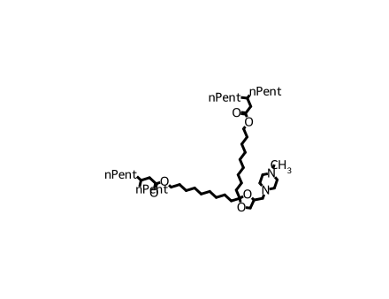 CCCCCC(CCCCC)CC(=O)OCCCCCCCCCC1(CCCCCCCCCOC(=O)CC(CCCCC)CCCCC)OCC(CN2CCN(C)CC2)O1